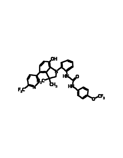 CC1(C)CN(c2ccccc2NC(=O)Nc2ccc(OC(F)(F)F)cc2)c2c(O)ccc(-c3ccc(C(F)(F)F)nc3)c21